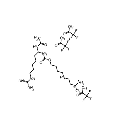 CC(=O)NC(CCCCCNC(=N)N)NC(=O)OCCCCNCC[C@@H](C)N.O=C(O)C(F)(F)F.O=C(O)C(F)(F)F.O=C(O)C(F)(F)F